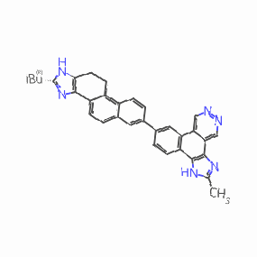 CC[C@@H](C)c1nc2c([nH]1)CCc1c-2ccc2cc(-c3ccc4c(c3)c3cnncc3c3nc(C)[nH]c43)ccc12